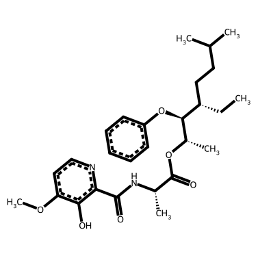 CC[C@@H](CCC(C)C)[C@H](Oc1ccccc1)[C@H](C)OC(=O)[C@H](C)NC(=O)c1nccc(OC)c1O